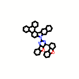 c1ccc2cc3c(cc2c1)c1c2c4ccccc4c4ccccc4c2ccc1n3-c1nc(-c2cccc3oc4ccccc4c23)c2oc3ccccc3c2n1